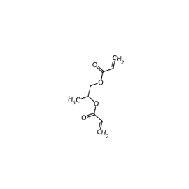 C=CC(=O)OCC(C)OC(=O)C=C